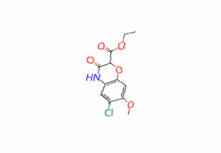 CCOC(=O)C1Oc2cc(OC)c(Cl)cc2NC1=O